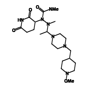 CNC(=O)N(C1CCC(=O)NC1=O)N(C)C(C)N1CCN(CC2CCN(OC)CC2)CC1